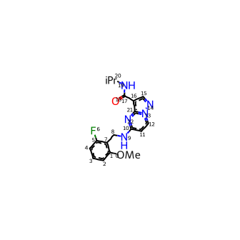 COc1cccc(F)c1CNc1ccn2ncc(C(=O)NC(C)C)c2n1